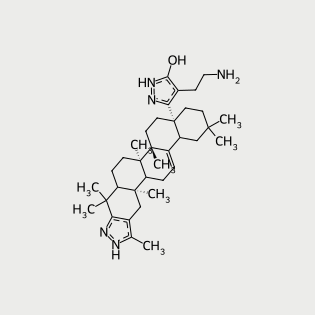 Cc1[nH]nc2c1C[C@@]1(C)C(CC[C@]3(C)C1CC=C1C4CC(C)(C)CC[C@]4(c4n[nH]c(O)c4CCN)CC[C@]13C)C2(C)C